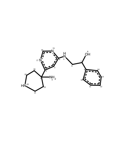 NC1(c2cc(NCC(O)c3ccccc3)ncn2)CCNCC1